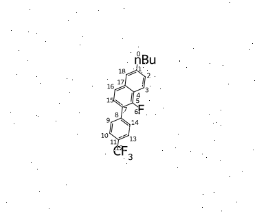 CCCCc1ccc2c(F)c(-c3ccc(C(F)(F)F)cc3)ccc2c1